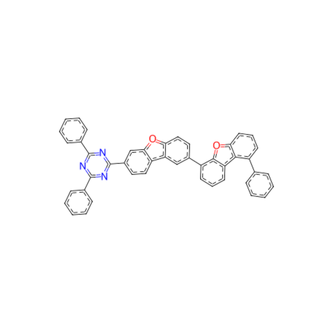 c1ccc(-c2nc(-c3ccccc3)nc(-c3ccc4c(c3)oc3ccc(-c5cccc6c5oc5cccc(-c7ccccc7)c56)cc34)n2)cc1